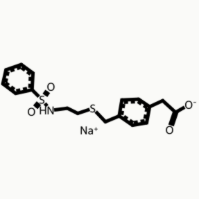 O=C([O-])Cc1ccc(CSCCNS(=O)(=O)c2ccccc2)cc1.[Na+]